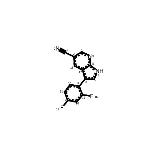 N#Cc1cnc2[nH]cc(-c3ccc(F)cc3F)c2c1